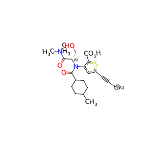 CC1CCC(C(=O)N(c2cc(C#CC(C)(C)C)sc2C(=O)O)[C@@H](CO)C(=O)N(C)C)CC1